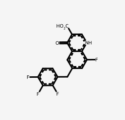 O=C(O)c1c[nH]c2c(F)cc(Cc3ccc(F)c(F)c3F)cc2c1=O